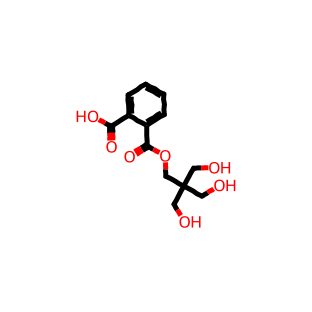 O=C(O)c1ccccc1C(=O)OCC(CO)(CO)CO